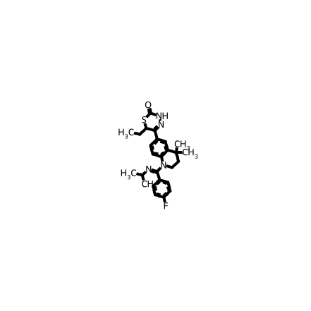 CCC1SC(=O)NN=C1c1ccc2c(c1)C(C)(C)CCN2C(=NC(C)C)c1ccc(F)cc1